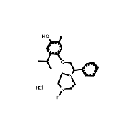 Cc1cc(OCC(c2ccccc2)N2CCN(F)CC2)c(C(C)C)cc1O.Cl